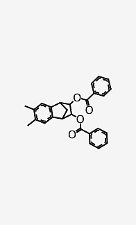 Cc1cc2c(cc1C)C1CC2C(OC(=O)c2ccccc2)C1OC(=O)c1ccccc1